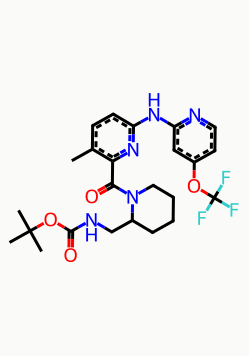 Cc1ccc(Nc2cc(OC(F)(F)F)ccn2)nc1C(=O)N1CCCCC1CNC(=O)OC(C)(C)C